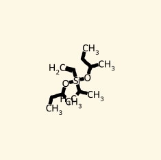 C=C[Si](OC(C)CC)(OC(C)CC)C(C)C